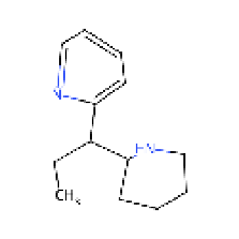 CCC(c1ccccn1)C1CCCCN1